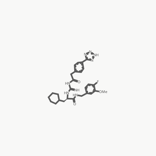 COc1cc(CNC(=O)[C@@H](CC2CCCCC2)NC(=N)NC(=O)Cc2ccc(-c3nn[nH]n3)cc2)ccc1F